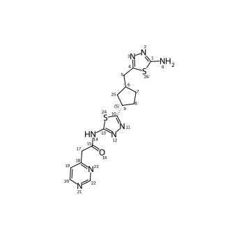 Nc1nnc(CC2CC[C@H](c3nnc(NC(=O)Cc4ccncn4)s3)C2)s1